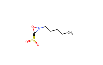 CCCCCN1OC1=S(=O)=O